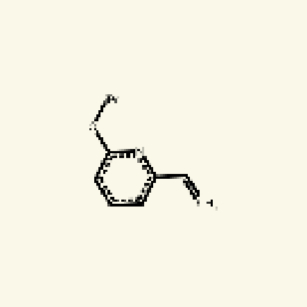 C=Cc1cccc(OC(C)C)n1